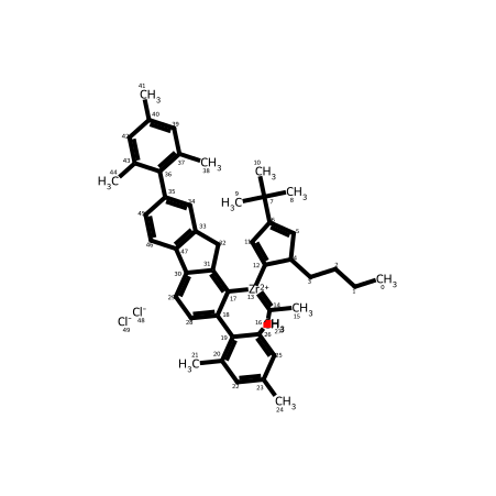 CCCCC1C=C(C(C)(C)C)C=[C]1[Zr+2](=[C](C)C)[c]1c(-c2c(C)cc(C)cc2C)ccc2c1Cc1cc(-c3c(C)cc(C)cc3C)ccc1-2.[Cl-].[Cl-]